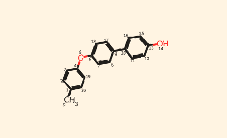 Cc1ccc(Oc2ccc(-c3ccc(O)cc3)cc2)cc1